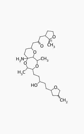 C=C1COC(CCC(O)CCC2OC(C)C3OC(CC(=O)CC4CCO[C@H]4C)CCC3(N)OC2C)C1